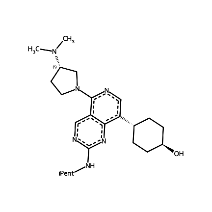 CCCC(C)Nc1ncc2c(N3CC[C@H](N(C)C)C3)ncc([C@H]3CC[C@H](O)CC3)c2n1